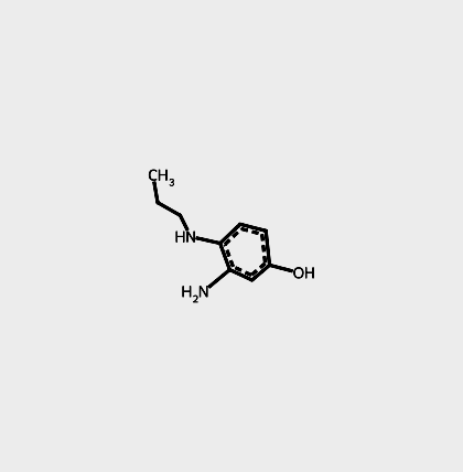 CCCNc1ccc(O)cc1N